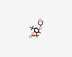 CC(=O)Oc1c(C(C)(C)C)cc(OC2CCOCC2)c(C)c1C(C)(C)C